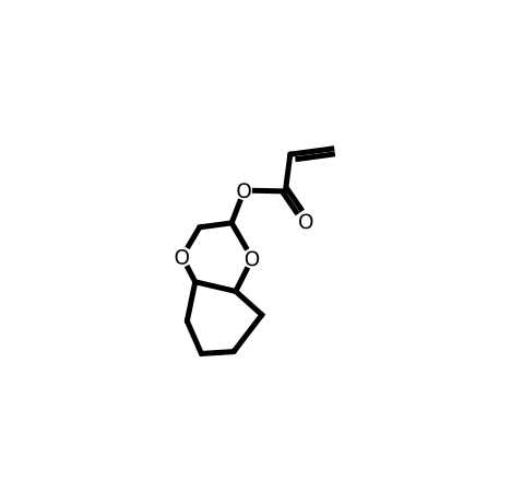 C=CC(=O)OC1COC2CCCCC2O1